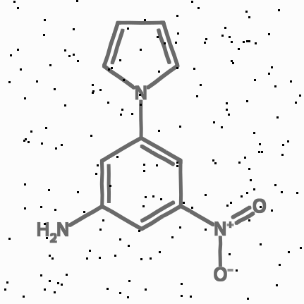 Nc1cc(-n2cccc2)cc([N+](=O)[O-])c1